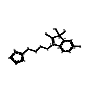 CC1=[N+](CCCCc2cccs2)c2ccc(C)cc2C1(C)C